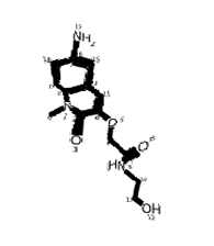 Cn1c(=O)c(OCC(=O)NCCO)cc2cc(N)ccc21